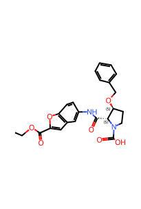 CCOC(=O)c1cc2cc(NC(=O)[C@@H]3[C@@H](OCc4ccccc4)CCN3C(=O)O)ccc2o1